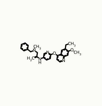 C=C(CN(C)Cc1ccccc1)Nc1ccc(Oc2ccnc3cc(OC)c(CC)cc23)nc1